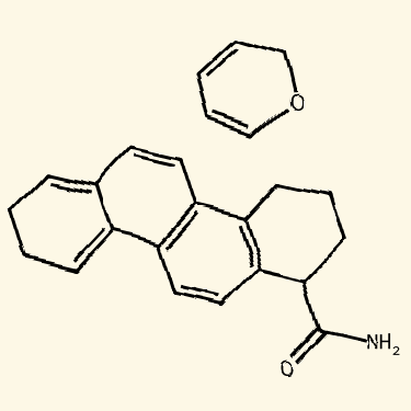 C1=CCOC=C1.NC(=O)C1CCCc2c1ccc1c3c(ccc21)=CCCC=3